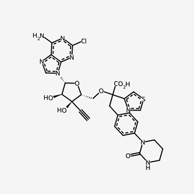 C#C[C@@]1(O)[C@@H](COC(Cc2ccc(N3CCCNC3=O)cc2)(C(=O)O)c2cscn2)O[C@@H](n2cnc3c(N)nc(Cl)nc32)[C@@H]1O